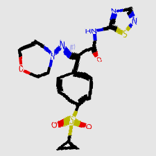 O=C(Nc1ncns1)/C(=N/N1CCOCC1)c1ccc(S(=O)(=O)C2CC2)cc1